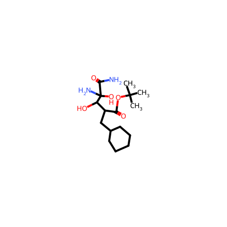 CC(C)(C)OC(=O)C(CC1CCCCC1)C(O)C(N)(O)C(N)=O